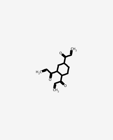 C=CC(=O)C1CCC(C(=O)C=C)C(C(=O)C=C)C1